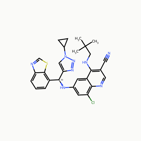 CC(C)(C)CNc1c(C#N)cnc2c(Cl)cc(N[C@H](c3cn(C4CC4)nn3)c3cccc4ncsc34)cc12